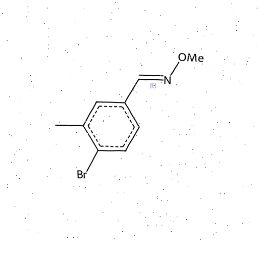 CO/N=C/c1ccc(Br)c(C)c1